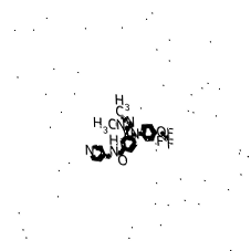 Cc1nc2c(c3cc(C(=O)NCc4ccncc4)ccc3n2-c2ccc(OC(F)(F)F)cc2)n1C